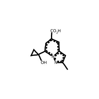 Cc1cc2cc(C(=O)O)cc(C3(O)CC3)n2n1